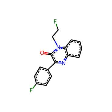 O=c1c(-c2ccc(F)cc2)nc2ccccc2n1CCF